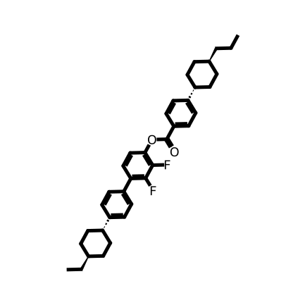 CCC[C@H]1CC[C@H](c2ccc(C(=O)Oc3ccc(-c4ccc([C@H]5CC[C@H](CC)CC5)cc4)c(F)c3F)cc2)CC1